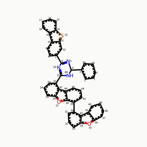 c1ccc(C2N=C(c3ccc4c(c3)sc3ccccc34)N=C(c3cccc4oc5c(-c6cccc7oc8ccccc8c67)cccc5c34)N2)cc1